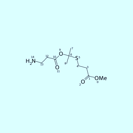 COC(=O)CCSC(C)(C)OC(=O)CCN